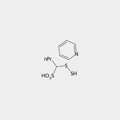 CCCC(SS)S(=O)(=O)O.c1ccncc1